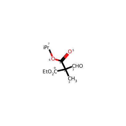 CCOC(=O)C(C)(C=O)C(=O)OC(C)C